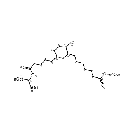 CCCCCCCCCOC(=O)CCCCCCC1CC(CCCCC(=O)OC(CCCCCCCC)CCCCCCCC)CCN1CC